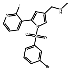 CNCc1cc(-c2cccnc2F)n(S(=O)(=O)c2cccc(Br)c2)c1